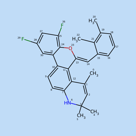 CC1=CC(C)(C)Nc2ccc3c(c21)/C(=C/c1cccc(C)c1C)Oc1c(F)cc(F)cc1-3